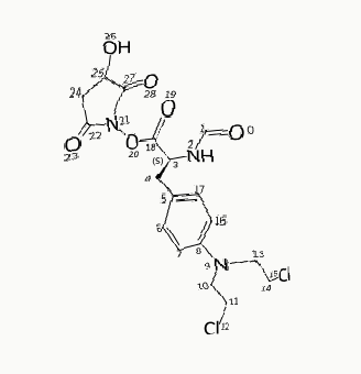 O=CN[C@@H](Cc1ccc(N(CCCl)CCCl)cc1)C(=O)ON1C(=O)CC(O)C1=O